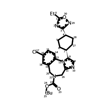 CCc1nc([C@H]2CC[C@@H](c3cnc4n3-c3ccc(Cl)cc3CN(C(=O)OC(C)(C)C)C4)CC2)no1